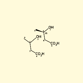 CC(O)CC(=O)O.C[C@@H](O)CC(=O)O